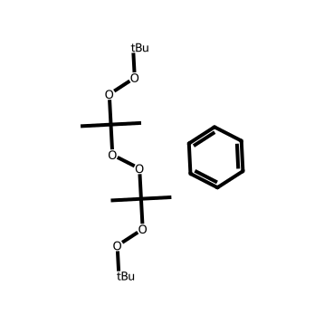 CC(C)(C)OOC(C)(C)OOC(C)(C)OOC(C)(C)C.c1ccccc1